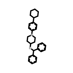 c1ccc(C(OC2CCN(c3ccc(C4CCCCC4)cc3)CC2)c2ccccc2)cc1